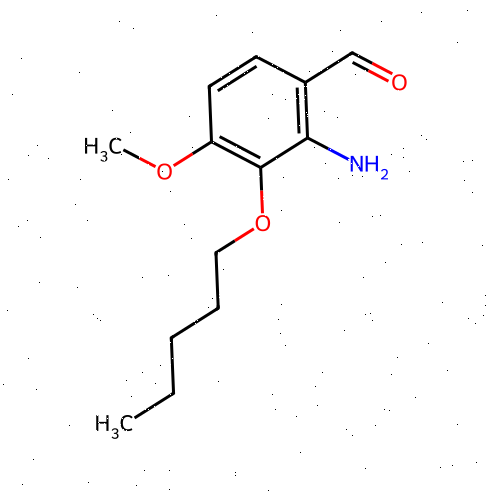 CCCCCOc1c(OC)ccc(C=O)c1N